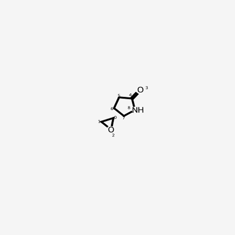 C1CO1.O=C1CCCN1